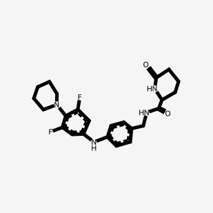 O=C1CCCC(C(=O)NCc2ccc(Nc3cc(F)c(N4CCCCC4)c(F)c3)cc2)N1